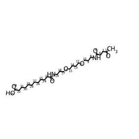 CC(=O)CCC(=O)NCCCOCCCCOCCCNC(=O)CCCCCCCCCCC(=O)O